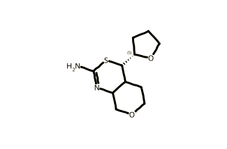 NC1=NC2COCCC2C([C@@H]2CCCO2)S1